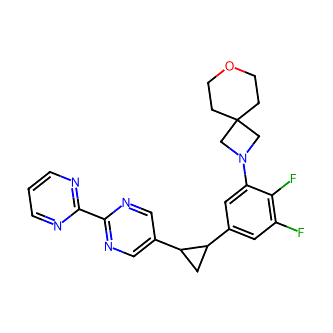 Fc1cc(C2CC2c2cnc(-c3ncccn3)nc2)cc(N2CC3(CCOCC3)C2)c1F